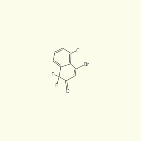 O=C1C=C(Br)c2c(Cl)cccc2C1(F)F